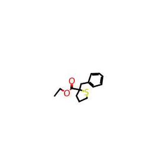 CCOC(=O)C1(Cc2ccccc2)CCCS1